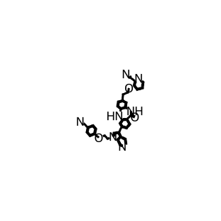 N#Cc1ccc(OCCn2cc(-c3ccc4c(c3)Nc3ccc(CCOc5cccnc5C#N)cc3NC4=O)c3ccncc32)cc1